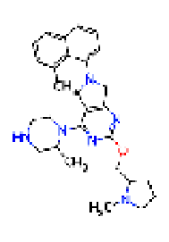 Cc1cccc2cccc(N3Cc4nc(OCC5CCCN5C)nc(N5CCNCC5C)c4C3)c12